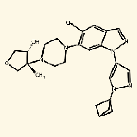 C[C@@]1(N2CCN(c3cc4c(cnn4-c4cnn(C56CC(C5)C6)c4)cc3Cl)CC2)COC[C@@H]1O